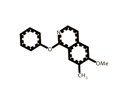 COc1cc2ccnc(Oc3ccccc3)c2cc1C